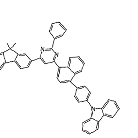 CC1(C)c2ccccc2-c2ccc(-c3cc(-c4ccc(-c5ccc(-n6c7ccccc7c7ccccc76)cc5)c5ccccc45)nc(-c4ccccc4)n3)cc21